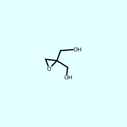 OCC1(CO)CO1